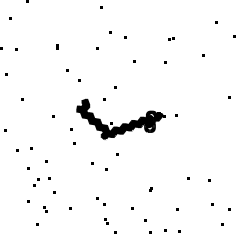 CCOC(=O)CCCCCCCCC(C)CCCCCCC(C)CC